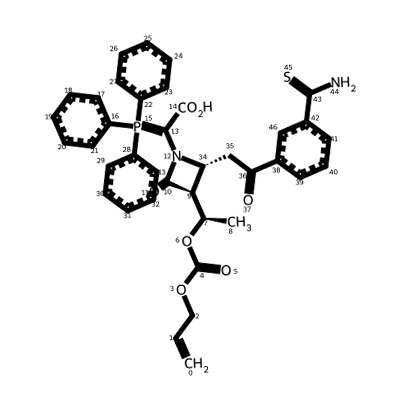 C=CCOC(=O)O[C@H](C)[C@H]1C(=O)N(C(C(=O)O)=P(c2ccccc2)(c2ccccc2)c2ccccc2)[C@@H]1CC(=O)c1cccc(C(N)=S)c1